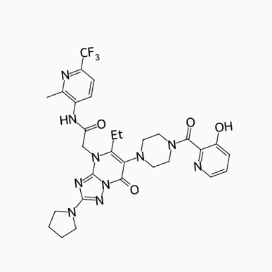 CCc1c(N2CCN(C(=O)c3ncccc3O)CC2)c(=O)n2nc(N3CCCC3)nc2n1CC(=O)Nc1ccc(C(F)(F)F)nc1C